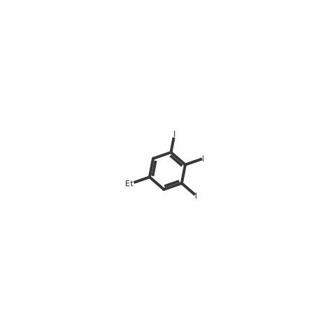 CCc1cc(I)c(I)c(I)c1